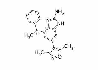 Cc1noc(C)c1-c1cc([C@H](C)c2ccccc2)c2nc(N)[nH]c2c1